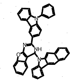 c1ccc(-n2c3ccccc3c3cc(C4=Nc5oc6ccccc6c5C(n5c6ccccc6c6cc7ccccc7cc65)N4)ccc32)cc1